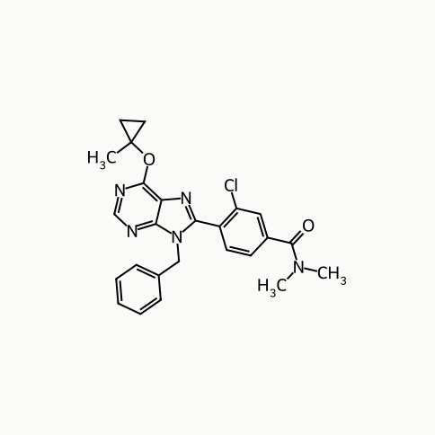 CN(C)C(=O)c1ccc(-c2nc3c(OC4(C)CC4)ncnc3n2Cc2ccccc2)c(Cl)c1